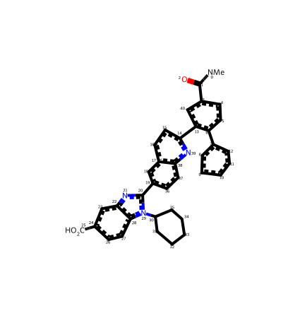 CNC(=O)c1ccc(-c2ccccc2)c(-c2ccc3cc(-c4nc5cc(C(=O)O)ccc5n4C4CCCCC4)ccc3n2)c1